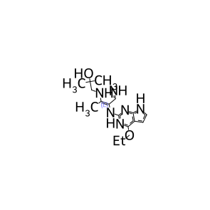 CCOc1nc(N/C(C=N)=C(\C)NCC(C)(C)O)nc2[nH]ccc12